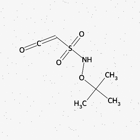 CC(C)(C)ONS(=O)(=O)C=C=O